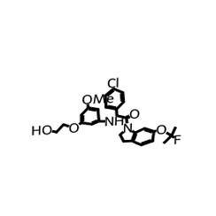 COc1cc(NC(C(=O)N2CCc3ccc(OC(C)(C)F)cc32)c2ccc(Cl)cc2)cc(OCCO)c1